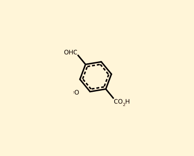 O=Cc1ccc(C(=O)O)cc1.[O]